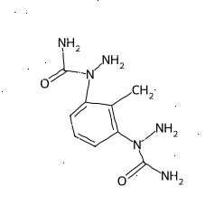 [CH2]c1c(N(N)C(N)=O)cccc1N(N)C(N)=O